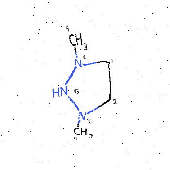 CN1CCN(C)N1